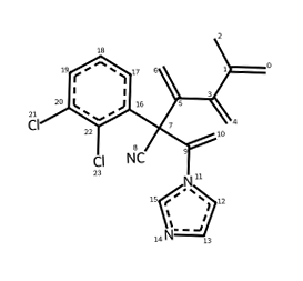 C=C(C)C(=C)C(=C)C(C#N)(C(=C)n1ccnc1)c1cccc(Cl)c1Cl